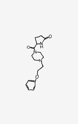 O=C1CCC(C(=O)N2CCN(CCOc3ccccc3)CC2)N1